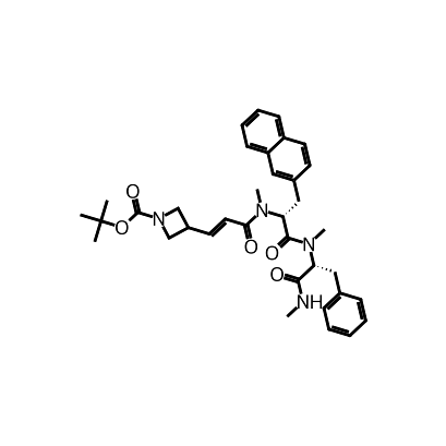 CNC(=O)[C@@H](Cc1ccccc1)N(C)C(=O)[C@@H](Cc1ccc2ccccc2c1)N(C)C(=O)C=CC1CN(C(=O)OC(C)(C)C)C1